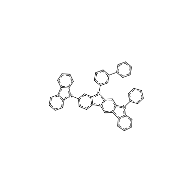 c1ccc(-c2cccc(-n3c4cc(-n5c6ccccc6c6ccccc65)ccc4c4cc5c6ccccc6n(-c6ccccc6)c5cc43)c2)cc1